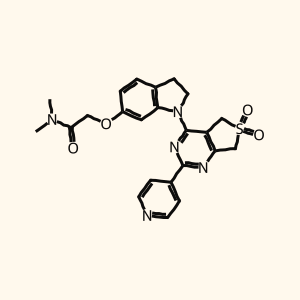 CN(C)C(=O)COc1ccc2c(c1)N(c1nc(-c3ccncc3)nc3c1CS(=O)(=O)C3)CC2